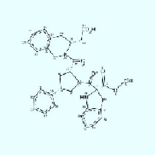 CC(C)(C)OC(=O)[C@]1(C(=O)N2C[C@H](c3ccccc3)C[C@@H]2C(=O)N2Cc3ccccc3C[C@@H]2CC(=O)O)Cc2ccccc2N1